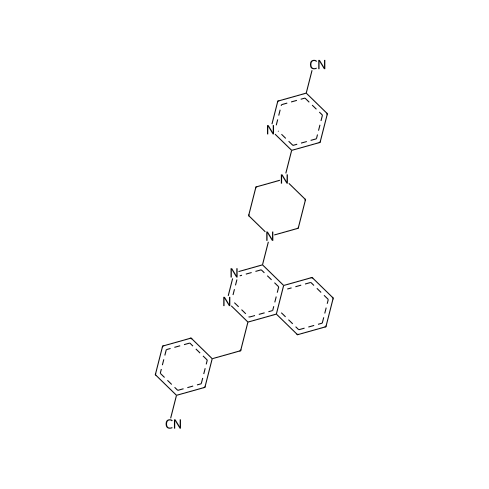 N#Cc1ccc(N2CCN(c3nnc(Cc4cccc(C#N)c4)c4ccccc34)CC2)nc1